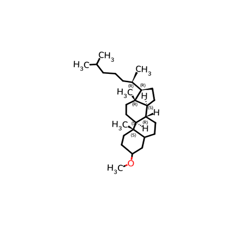 COC1CC[C@@]2(C)C(CC[C@H]3[C@@H]4CC[C@H]([C@H](C)CCCC(C)C)[C@@]4(C)CC[C@@H]32)C1